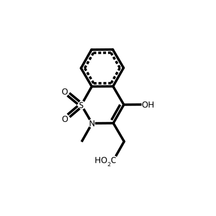 CN1C(CC(=O)O)=C(O)c2ccccc2S1(=O)=O